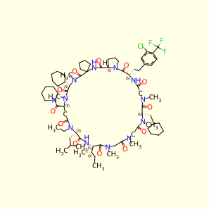 CC[C@H](C)[C@@H]1NC(=O)[C@H](CC(C)C)N(CC)C(=O)C[C@@H](C(=O)N2CCCCC2)N(C)C(=O)[C@H](C2CCCCC2)N(C)C(=O)C2(CCCC2)NC(=O)[C@@H]2CCCN2C(=O)[C@H](CCc2ccc(C(F)(F)F)c(Cl)c2)NC(=O)CN(C)C(=O)[C@H](CC2CCCCC2)N(C)C(=O)CN(C)C(=O)CN(C)C1=O